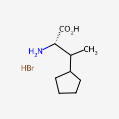 Br.CC(C1CCCC1)[C@H](N)C(=O)O